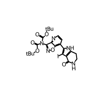 CC(C)(C)OC(=O)N(C(=O)OC(C)(C)C)c1noc2c(-c3[nH]c4c(c3I)C(=O)NCC4)ccnc12